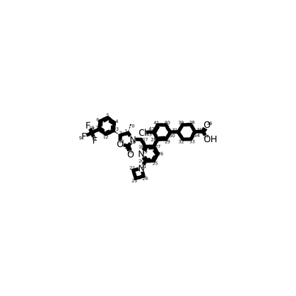 C[C@H]1[C@@H](c2cccc(C(F)(F)F)c2)OC(=O)N1Cc1nc(N2CCC2)ccc1C1=CC(C2CCC(C(=O)O)CC2)CC=C1Cl